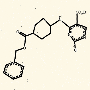 CCOC(=O)c1cnc(Cl)nc1NC1CCC(C(=O)OCc2ccccc2)CC1